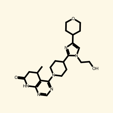 CC1CC(=O)Nc2ncnc(N3CCC(c4nc(C5CCOCC5)cn4CCO)CC3)c21